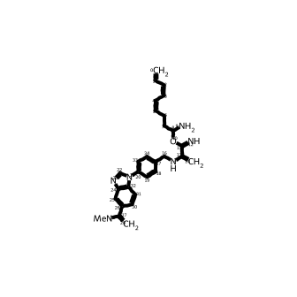 C=C/C=C\C=C/CCC(N)OC(=N)C(=C)NCc1ccc(-n2cnc3cc(C(=C)NC)ccc32)cc1